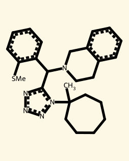 CSc1ccccc1C(c1nnnn1C1(C)CCCCCC1)N1CCc2ccccc2C1